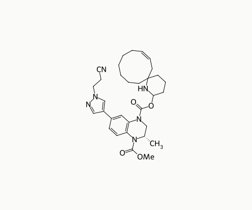 COC(=O)N1c2ccc(-c3cnn(CCC#N)c3)cc2N(C(=O)OC2CCCC3(C/C=C\CCCCCC3)N2)C[C@@H]1C